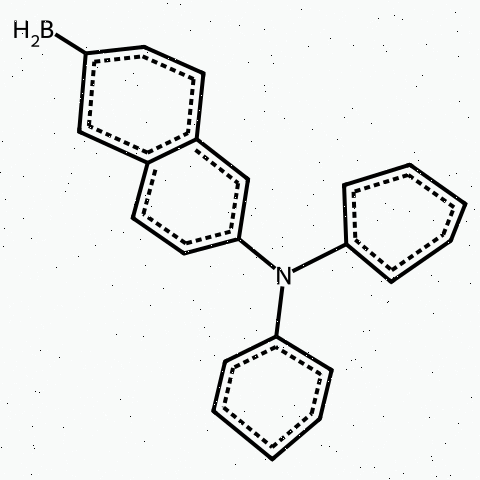 Bc1ccc2cc(N(c3ccccc3)c3ccccc3)ccc2c1